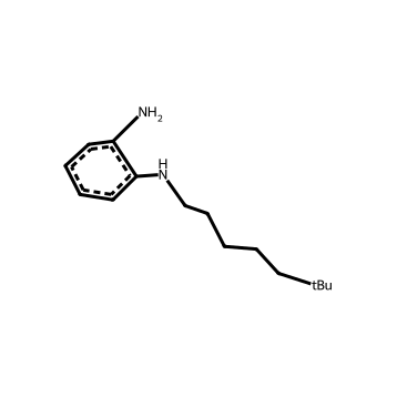 CC(C)(C)CCCCCNc1ccccc1N